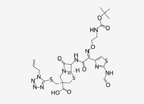 C=CCn1nnnc1SCC1(C(=O)O)CS[C@@H]2C(NC(=O)C(=NOCCNC(=O)OC(C)(C)C)c3csc(NC=O)n3)C(=O)N2C1